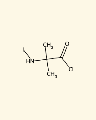 CC(C)(NI)C(=O)Cl